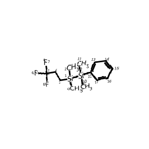 C[Si](C)(CCC(F)(F)F)[Si](C)(C)c1ccccc1